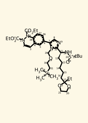 CCOC(=O)N1C=Cc2cc(-c3cnc([C@H](CCCCCC4(CC)OCCO4)N[S@+]([O-])C(C)(C)C)n3COCC[Si](C)(C)C)ccc2N1C(=O)OCC